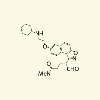 CNC(=O)CCC(C=O)c1noc2ccc3cc(OCCNC4CCCCC4)ccc3c12